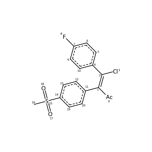 CC(=O)C(=C(Cl)c1ccc(F)cc1)c1ccc(S(C)(=O)=O)cc1